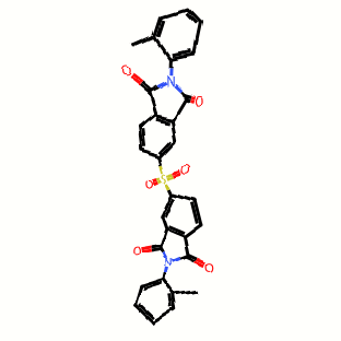 Cc1ccccc1N1C(=O)c2ccc(S(=O)(=O)c3ccc4c(c3)C(=O)N(c3ccccc3C)C4=O)cc2C1=O